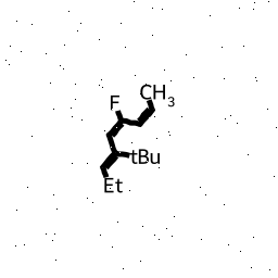 C\C=C/C(F)=C\C(=C\CC)C(C)(C)C